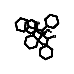 CCC(C1CCCCC1)C(P)(C1CCCCC1)C1CCCCC1(P)C(P)(C1CCCCC1)C(CC)C1CCCCC1